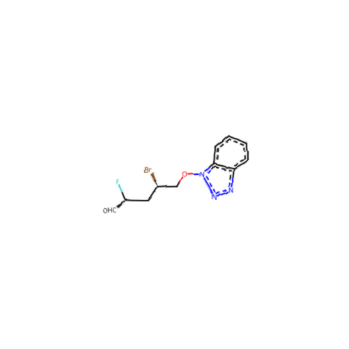 O=C[C@@H](F)C[C@@H](Br)COn1nnc2ccccc21